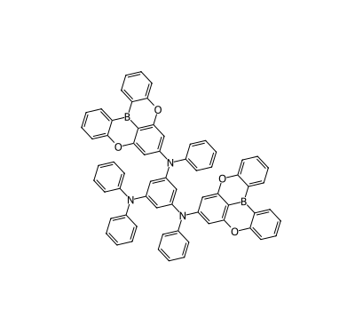 c1ccc(N(c2ccccc2)c2cc(N(c3ccccc3)c3cc4c5c(c3)Oc3ccccc3B5c3ccccc3O4)cc(N(c3ccccc3)c3cc4c5c(c3)Oc3ccccc3B5c3ccccc3O4)c2)cc1